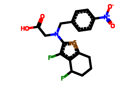 O=C(O)CN(Cc1ccc([N+](=O)[O-])cc1)c1sc2c(c1F)C(F)CCC2